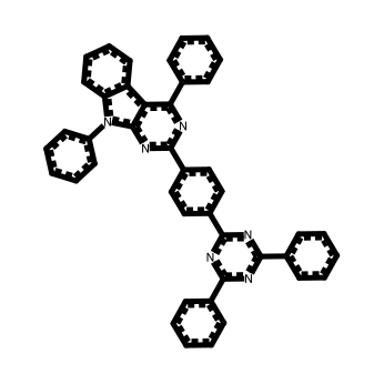 c1ccc(-c2nc(-c3ccccc3)nc(-c3ccc(-c4nc(-c5ccccc5)c5c6ccccc6n(-c6ccccc6)c5n4)cc3)n2)cc1